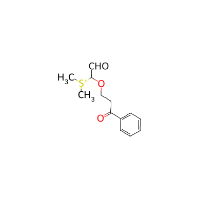 C[S+](C)C(C=O)OCCC(=O)c1ccccc1